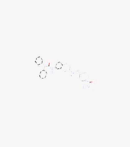 CCN(CC1CCN(C(=O)NC(C)C)CC1)C1CCc2ccc(NC(=O)C(c3ccccc3)c3ccccc3)cc2C1